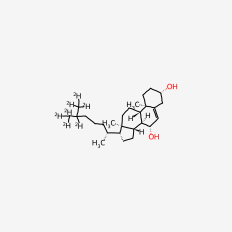 [2H]C([2H])([2H])C([2H])(CCC[C@@H](C)[C@H]1CC[C@H]2[C@@H]3[C@@H](O)C=C4C[C@@H](O)CC[C@]4(C)[C@H]3CC[C@]12C)C([2H])([2H])[2H]